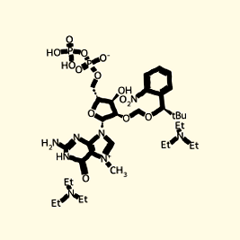 CCN(CC)CC.CCN(CC)CC.C[n+]1cn([C@@H]2O[C@H](COP(=O)([O-])OP(=O)(O)O)[C@@H](O)[C@H]2OCO[C@@H](c2ccccc2[N+](=O)[O-])C(C)(C)C)c2nc(N)[nH]c(=O)c21